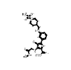 COC(=O)c1sc(-c2cccc(NCC3CCN(S(C)(=O)=O)CC3)c2)c(Br)c1OCC(=O)OC(C)(C)C